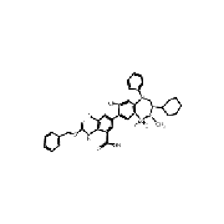 CN1[C@H](C2CCCCC2)CN(c2ccccc2)c2cc(Cl)c(-c3cc(F)c(NC(=O)OCc4ccccc4)c(C(=O)O)c3)cc2S1(=O)=O